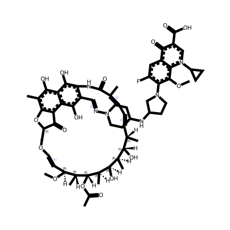 COc1c(N2CCC(NC3CCN(/N=C/c4c5c(O)c6c(O)c(C)c7c(c6c4O)C(=O)[C@@](C)(O/C=C/[C@H](OC)[C@@H](C)[C@@H](OC(C)=O)[C@H](C)[C@H](O)[C@H](C)[C@@H](O)[C@@H](C)/C=C/C=C(/C)C(=O)N5)O7)CC3)C2)c(F)cc2c(=O)c(C(=O)O)cn(C3CC3)c12